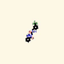 O=C(Cn1nnc2ccccc2c1=O)NCc1cccc(C(F)(F)F)c1